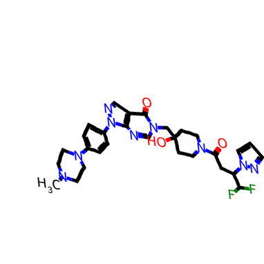 CN1CCN(c2ccc(-n3ncc4c(=O)n(CC5(O)CCN(C(=O)CC(C(F)F)n6cccn6)CC5)cnc43)cc2)CC1